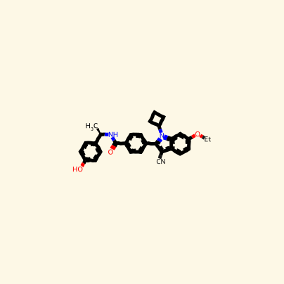 CCOc1ccc2c(C#N)c(-c3ccc(C(=O)N[C@H](C)c4ccc(O)cc4)cc3)n(C3CCC3)c2c1